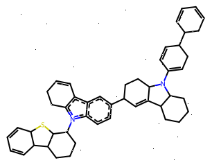 C1=CCC(C2C=CC(N3C4CCC(c5ccc6c(c5)c5c(n6C6CCCC7C8C=CC=CC8SC76)CCC=C5)C=C4C4CCCCC43)=CC2)C=C1